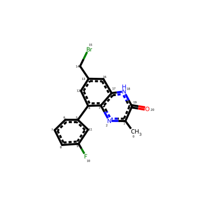 Cc1nc2c(-c3cccc(F)c3)cc(CBr)cc2[nH]c1=O